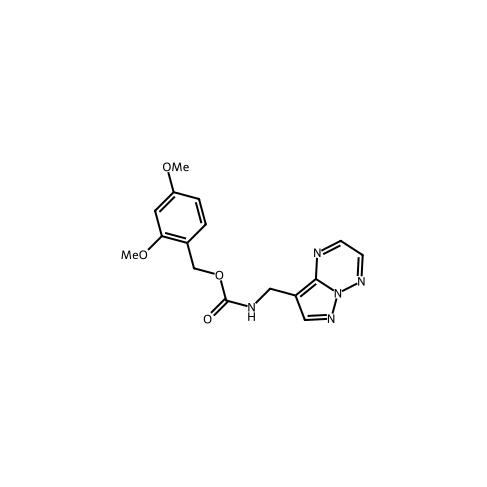 COc1ccc(COC(=O)NCc2cnn3nccnc23)c(OC)c1